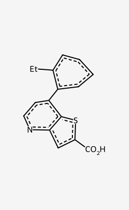 CCc1ccccc1-c1ccnc2cc(C(=O)O)sc12